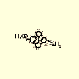 COCc1ccc(C(c2ccccc2)(c2ccccc2)c2ccc(COC)cc2)cc1